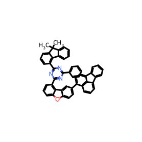 CC1(C)c2ccccc2-c2c(-c3nc(-c4ccccc4)nc(-c4cccc5oc6ccc(-c7ccc8c9c(cccc79)-c7ccccc7-8)cc6c45)n3)cccc21